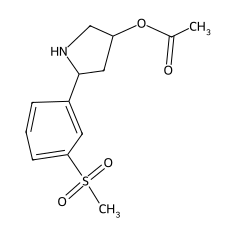 CC(=O)OC1CNC(c2cccc(S(C)(=O)=O)c2)C1